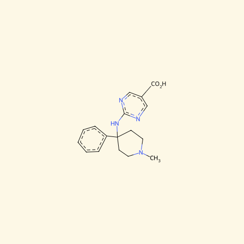 CN1CCC(Nc2ncc(C(=O)O)cn2)(c2ccccc2)CC1